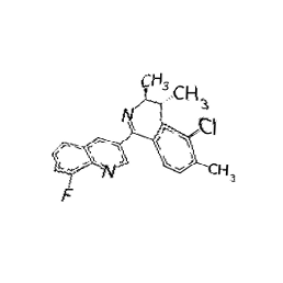 Cc1ccc2c(c1Cl)[C@@H](C)[C@H](C)N=C2c1cnc2c(F)cccc2c1